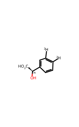 [2H]c1ccc([C@@H](O)C(=O)O)cc1[2H]